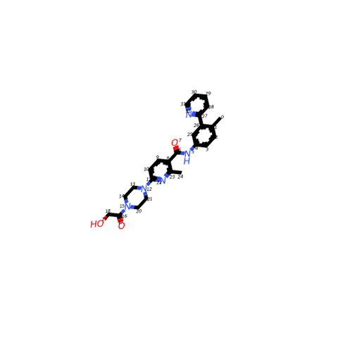 Cc1ccc(NC(=O)c2ccc(N3CCN(C(=O)CO)CC3)nc2C)cc1-c1ccccn1